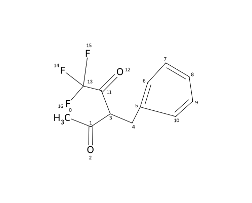 CC(=O)C(Cc1ccccc1)C(=O)C(F)(F)F